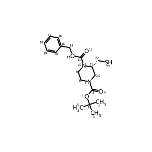 CC(C)(C)OC(=O)N1CCN(C(=O)OCc2ccccc2)[C@H](CS)C1